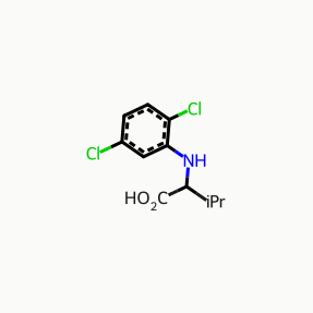 CC(C)C(Nc1cc(Cl)ccc1Cl)C(=O)O